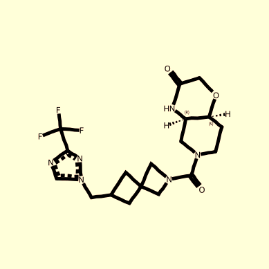 O=C1CO[C@H]2CCN(C(=O)N3CC4(CC(Cn5cnc(C(F)(F)F)n5)C4)C3)C[C@H]2N1